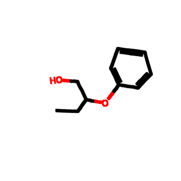 CCC(CO)Oc1ccccc1